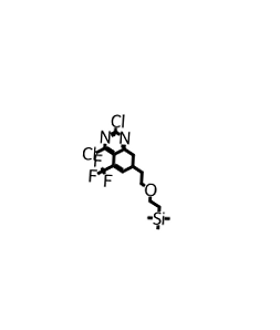 C[Si](C)(C)CCOCCC1C=C(C(F)(F)F)c2c(Cl)nc(Cl)nc2C1